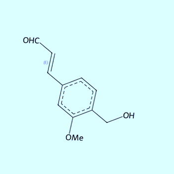 COc1cc(/C=C/C=O)ccc1CO